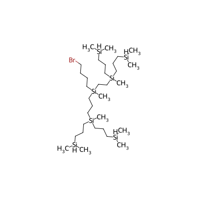 C[SiH](C)CCC[Si](C)(CCC[SiH](C)C)CCC[Si](C)(CCCCBr)CC[Si](C)(CCC[SiH](C)C)CCC[SiH](C)C